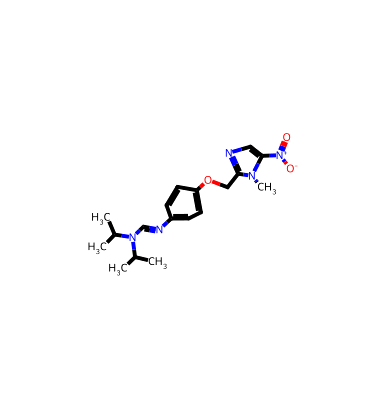 CC(C)N(/C=N/c1ccc(OCc2ncc([N+](=O)[O-])n2C)cc1)C(C)C